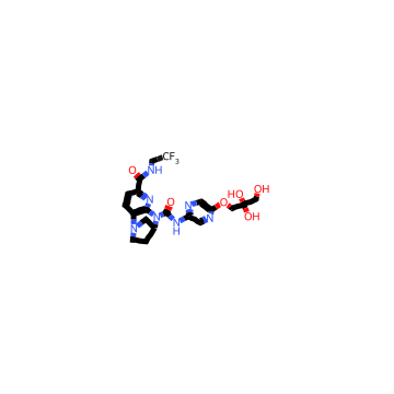 O=C(NCC(F)(F)F)c1ccc2c(n1)N(C(=O)Nc1cnc(OCC(O)(O)CO)cn1)C1CCN2C1